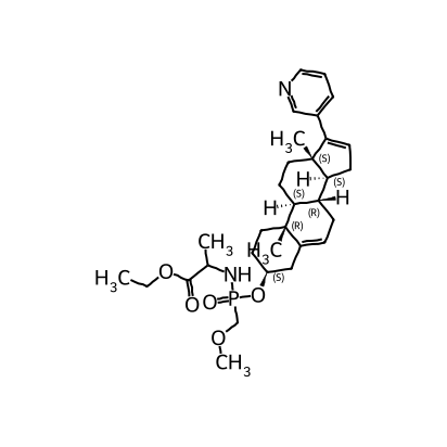 CCOC(=O)C(C)NP(=O)(COC)O[C@H]1CC[C@@]2(C)C(=CC[C@@H]3[C@@H]2CC[C@]2(C)C(c4cccnc4)=CC[C@@H]32)C1